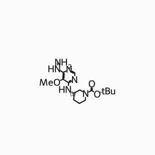 COc1c(NN)ncnc1N[C@H]1CCCN(C(=O)OC(C)(C)C)C1